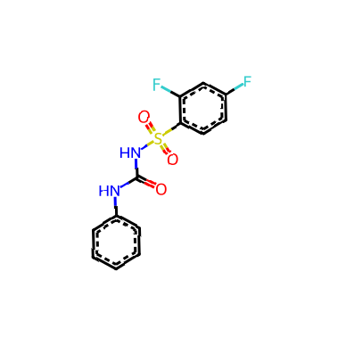 O=C(Nc1ccccc1)NS(=O)(=O)c1ccc(F)cc1F